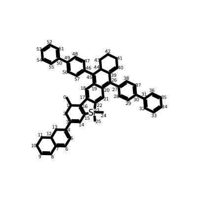 CC1CC(C2=CC=C3C=CCCC3C2)=CC2=C1c1cc3c(cc1[Si]2(C)C)=C(c1ccc(-c2ccccc2)cc1)C1=CCCCC1C=3c1ccc(-c2ccccc2)cc1